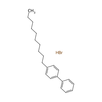 Br.CCCCCCCCCCc1ccc(-c2ccccc2)cc1